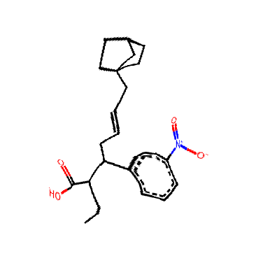 CCC(C(=O)O)C(CC=CCC12CCC(CC1)C2)c1cccc([N+](=O)[O-])c1